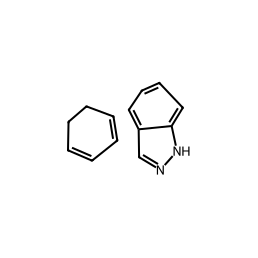 C1=CCCC=C1.c1ccc2[nH]ncc2c1